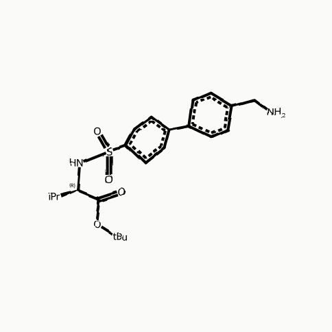 CC(C)[C@@H](NS(=O)(=O)c1ccc(-c2ccc(CN)cc2)cc1)C(=O)OC(C)(C)C